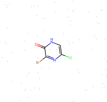 O=c1[nH]cc(Cl)nc1Br